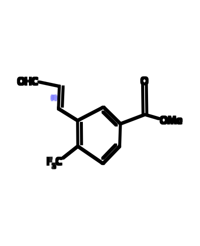 COC(=O)c1ccc(C(F)(F)F)c(/C=C/C=O)c1